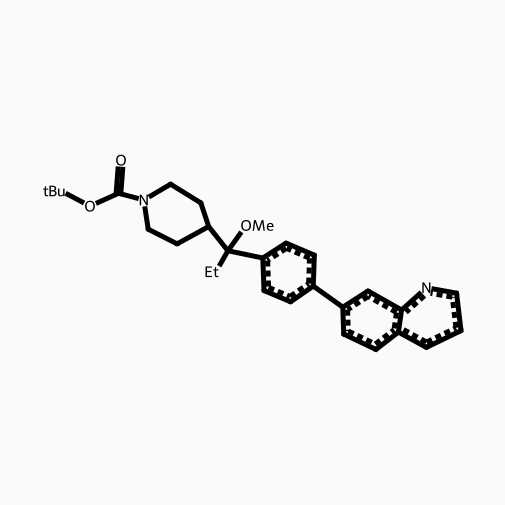 CCC(OC)(c1ccc(-c2ccc3cccnc3c2)cc1)C1CCN(C(=O)OC(C)(C)C)CC1